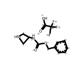 O=C(NC1CNC1)OCc1ccccc1.O=C(O)C(F)(F)F